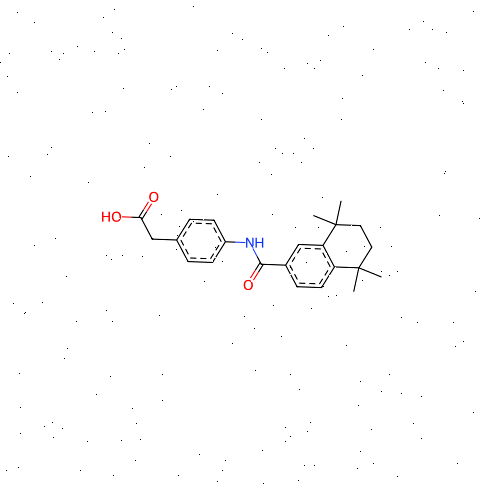 CC1(C)CCC(C)(C)c2cc(C(=O)Nc3ccc(CC(=O)O)cc3)ccc21